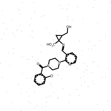 O=C(c1ccccc1Cl)N1CCN(c2ncccc2C=NC2(C(=O)O)CC2CO)CC1